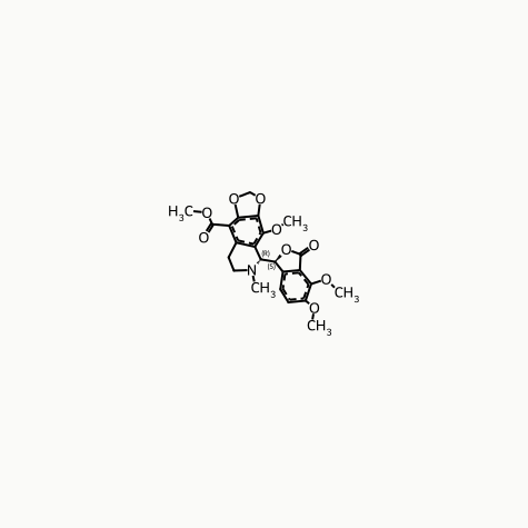 COC(=O)c1c2c(c(OC)c3c1OCO3)[C@H]([C@H]1OC(=O)c3c1ccc(OC)c3OC)N(C)CC2